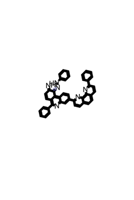 N=C1C=Cc2c(-c3ccccc3)nc3cc(-c4ccc5ccc6ccc(-c7ccccc7)nc6c5n4)ccc3c2/C1=N/Nc1ccccc1